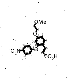 COCCOc1ccc(/C=C/C(=O)O)c(Oc2ccc([N+](=O)[O-])cc2)c1